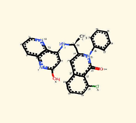 C[C@H](Nc1cc(O)nc2cccnc12)c1cc2cccc(Cl)c2c(=O)n1-c1ccccc1